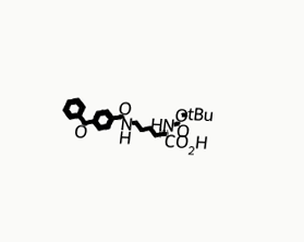 CC(C)(C)OC(=O)N[C@@H](CCCCNC(=O)c1ccc(C(=O)c2ccccc2)cc1)C(=O)O